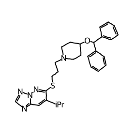 CC(C)c1cc2ncnn2nc1SCCCN1CCC(OC(c2ccccc2)c2ccccc2)CC1